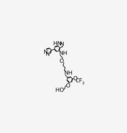 OCCOc1cc(CNCCCCOCCNc2cc(-c3ccnnc3)cc3[nH]ncc23)cc(OC(F)(F)F)c1